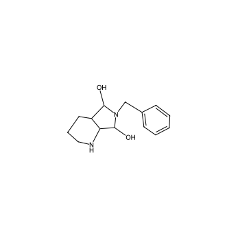 OC1C2CCCNC2C(O)N1Cc1ccccc1